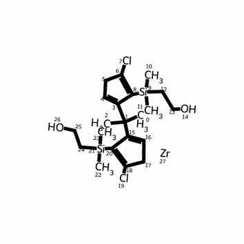 CC(C)(C1=CCC(Cl)=C1[Si](C)(C)CCO)C1=CCC(Cl)=C1[Si](C)(C)CCO.[Zr]